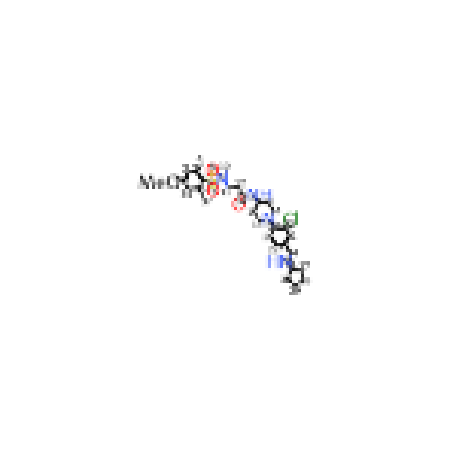 COc1cc(C)c(S(=O)(=O)N(C)CCC(=O)NC2CCN(c3ccc(CNC4CCCC4)cc3Cl)CC2)c(C)c1